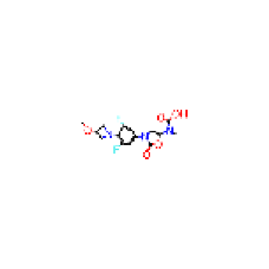 COC1CN(c2c(F)cc(N3C[C@@H](N(C)C(=O)O)OC3=O)cc2F)C1